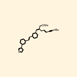 COC/C(=C/c1cccc(/C=C/c2cccc(-c3ccsc3)c2)c1)C/C=C/C#CC(C)(C)C